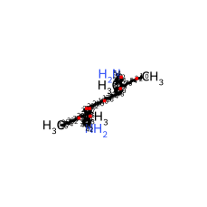 CCCCCCCCCC(c1ccc(CCCCCCCCCCc2ccc(C(CCCCCCCCC)c3ccc(N)cc3C)cc2)cc1)c1ccc(N)cc1C